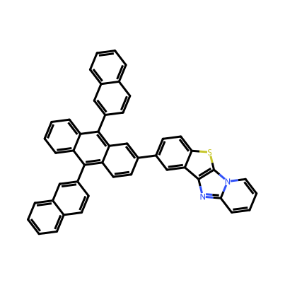 c1ccc2cc(-c3c4ccccc4c(-c4ccc5ccccc5c4)c4cc(-c5ccc6sc7c(nc8ccccn87)c6c5)ccc34)ccc2c1